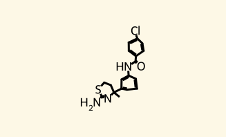 CC1(c2cccc(NC(=O)c3ccc(Cl)cc3)c2)CCSC(N)=N1